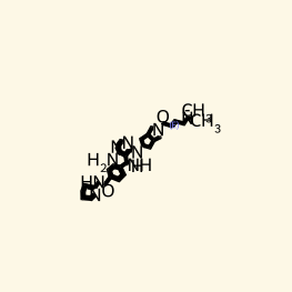 CN(C)C/C=C/C(=O)N1CC2CC(Nc3ncnc(N)c3C(=N)c3ccc(C(=O)Nc4ccccn4)cc3)CC2C1